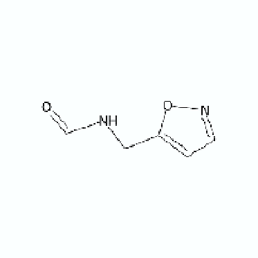 O=CNCc1ccno1